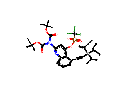 CC(C)[Si](C#Cc1cccc2nc(N(C(=O)OC(C)(C)C)C(=O)OC(C)(C)C)cc(OS(=O)(=O)C(F)(F)F)c12)(C(C)C)C(C)C